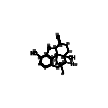 CN1CC[C@]23c4c5ccc(O)c4OC2C(=O)CCC3(O)[C@H]1C5